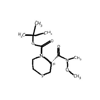 CON(C)C(=O)[C@@H]1CSCCN1C(=O)OC(C)(C)C